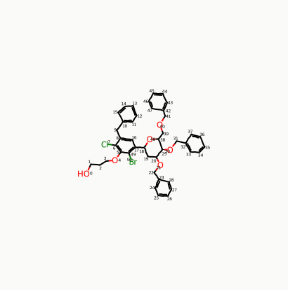 OCCCOc1c(Cl)c(Cc2ccccc2)cc(C2CC(OCc3ccccc3)[C@H](OCc3ccccc3)C(COCc3ccccc3)O2)c1Br